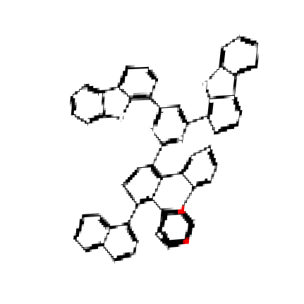 c1ccc(-c2ccccc2-c2c(-c3nc(-c4cccc5c4oc4ccccc45)cc(-c4cccc5c4oc4ccccc45)n3)ccc(-c3cccc4ccccc34)c2-c2ccccc2)cc1